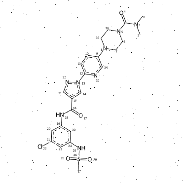 CN(C)C(=O)N1CCN(c2ccc(-n3cc(C(=O)Nc4cc(Cl)cc(NS(C)(=O)=O)c4)cn3)nc2)CC1